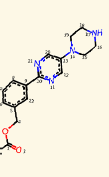 CC(C)(C)C(=O)OCc1cccc(-c2ncc(N3CCNCC3)cn2)c1